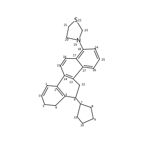 C1=CC2=C(CC1)C(C1CCCC1)Cc1c2ccc2c(N3CCSC3)cccc12